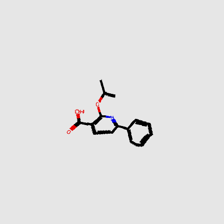 CC(C)Oc1nc(-c2ccccc2)ccc1C(=O)O